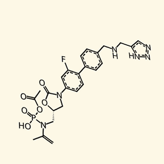 C=C(C)N(C[C@H]1CN(c2ccc(-c3ccc(CNCc4cnn[nH]4)cc3)c(F)c2)C(=O)O1)P(=O)(O)OC(C)=O